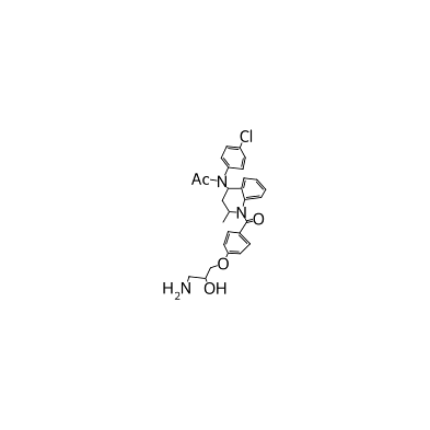 CC(=O)N(c1ccc(Cl)cc1)C1CC(C)N(C(=O)c2ccc(OCC(O)CN)cc2)c2ccccc21